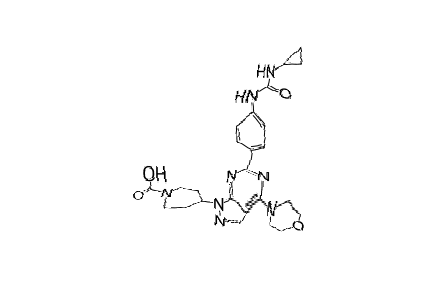 O=C(Nc1ccc(-c2nc(N3CCOCC3)c3cnn(C4CCN(C(=O)O)CC4)c3n2)cc1)NC1CC1